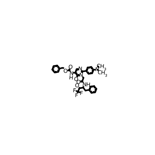 CN(C)c1ccc(-c2ncc(NC(=O)OCc3ccccc3)c(=O)n2CC(=O)NC(Cc2ccccc2)C(=O)C(F)(F)F)cc1